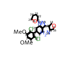 COc1cc(OC)c(Cl)c(C2CCc3c([C@H]4COC[C@H]4N)nn(C4CCCCO4)c3C2)c1Cl